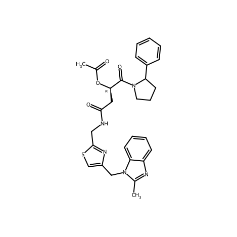 CC(=O)O[C@H](CC(=O)NCc1nc(Cn2c(C)nc3ccccc32)cs1)C(=O)N1CCCC1c1ccccc1